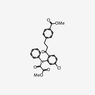 COC(=O)C(=O)N(c1ccccc1)c1cc(Cl)ccc1C(=O)CCc1ccc(C(=O)OC)cc1